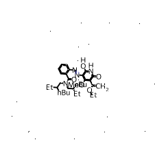 C=C(OCC)c1c(OC)c(/N=N/c2ccccc2C(=O)N(CC(CC)CCCC)CC(CC)CCCC)c(O)[nH]c1=O